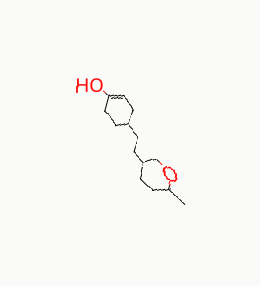 CC1CCC(CCC2CC=C(O)CC2)CO1